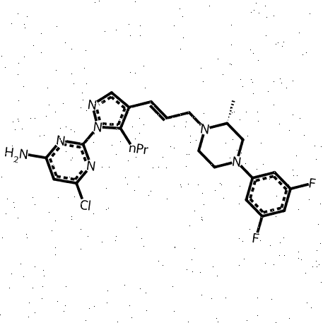 CCCc1c(C=CCN2CCN(c3cc(F)cc(F)c3)C[C@H]2C)cnn1-c1nc(N)cc(Cl)n1